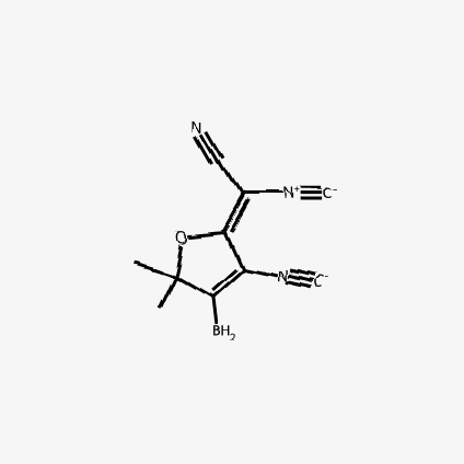 BC1=C([N+]#[C-])/C(=C(/C#N)[N+]#[C-])OC1(C)C